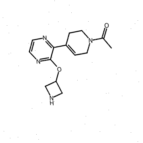 CC(=O)N1CC=C(c2nccnc2OC2CNC2)CC1